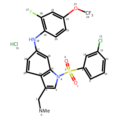 CNCc1cn(S(=O)(=O)c2cccc(Cl)c2)c2cc(Nc3ccc(OC(F)(F)F)cc3F)ccc12.Cl